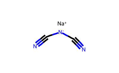 N#C[N-]C#N.[Na+]